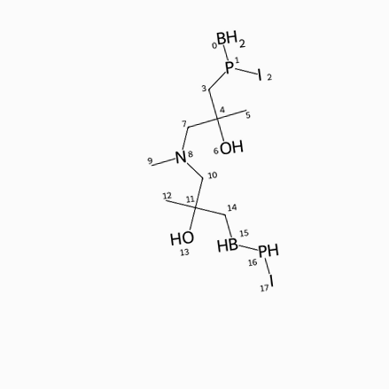 BP(I)CC(C)(O)CN(C)CC(C)(O)CBPI